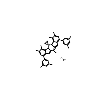 CCC1=Cc2c(-c3cc(C)cc(C)c3)cc(C)c(C)c2[CH]1[Zr+2]1([CH]2C(CC)=Cc3c(-c4cc(C)cc(C)c4)cc(C)c(C)c32)[CH2][CH2]1.[Cl-].[Cl-]